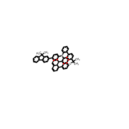 CC(C)(C)c1ccc(-c2ccccc2N(c2ccc(-c3ccc4c(c3)C(C)(C)c3ccccc3-4)cc2)c2ccccc2C2C=CC=C3C=CC=C(c4ccccc4)C32)cc1